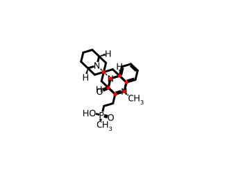 C[C@@H]1C[C@@H]2C[C@H](C1)C[C@@H](N1[C@@H]3CCC[C@H]1C[C@@H](n1c(=O)c(CCP(C)(=O)O)nc4ccccc41)C3)C2